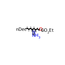 CCCCCCCCCCCCCCCCCCOC(=O)OCC.CN(C)C.N